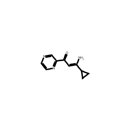 NC(=CC(=O)c1cnccn1)C1CC1